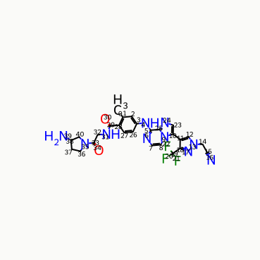 Cc1cc(Nc2nccn3c(-c4cn(CC#N)nc4C(F)(F)F)cnc23)ccc1C(=O)NCC(=O)N1CC[C@@H](N)C1